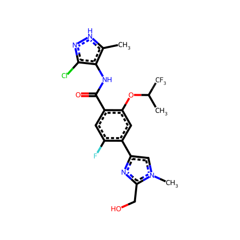 Cc1[nH]nc(Cl)c1NC(=O)c1cc(F)c(-c2cn(C)c(CO)n2)cc1OC(C)C(F)(F)F